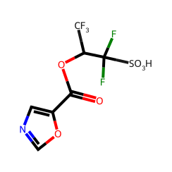 O=C(OC(C(F)(F)F)C(F)(F)S(=O)(=O)O)c1cnco1